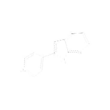 c1cnc2[nH]c(-c3ccncc3)cc2c1